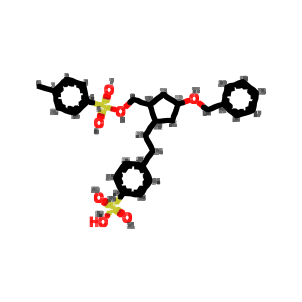 Cc1ccc(S(=O)(=O)OCC2CC(OCc3ccccc3)CC2CCc2ccc(S(=O)(=O)O)cc2)cc1